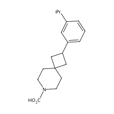 CC(C)c1cccc(C2CC3(CCN(C(=O)O)CC3)C2)c1